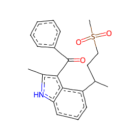 Cc1[nH]c2cccc(C(C)CCS(C)(=O)=O)c2c1C(=O)c1ccccc1